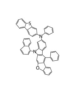 c1ccc(-c2c3c(cc4c2c2ccc(N(c5ccccc5)c5ccc6c(c5)sc5ccccc56)cc2n4-c2cccc4ccccc24)oc2ccccc23)cc1